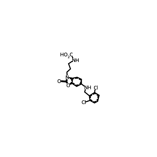 O=C(O)NCCCn1c(=O)oc2cc(NCc3c(Cl)cccc3Cl)ccc21